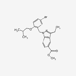 CCc1nn(Cc2cc(Br)ccc2OCC(C)C)c2ccc(C(=O)OC)cc12